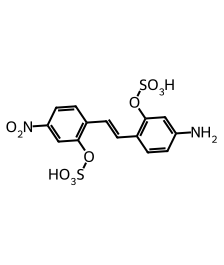 Nc1ccc(C=Cc2ccc([N+](=O)[O-])cc2OS(=O)(=O)O)c(OS(=O)(=O)O)c1